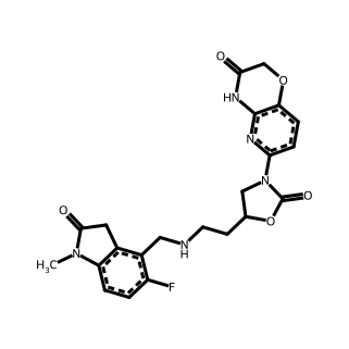 CN1C(=O)Cc2c1ccc(F)c2CNCCC1CN(c2ccc3c(n2)NC(=O)CO3)C(=O)O1